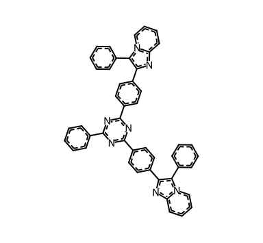 c1ccc(-c2nc(-c3ccc(-c4nc5ccccn5c4-c4ccccc4)cc3)nc(-c3ccc(-c4nc5ccccn5c4-c4ccccc4)cc3)n2)cc1